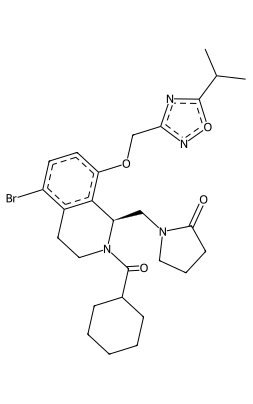 CC(C)c1nc(COc2ccc(Br)c3c2[C@@H](CN2CCCC2=O)N(C(=O)C2CCCCC2)CC3)no1